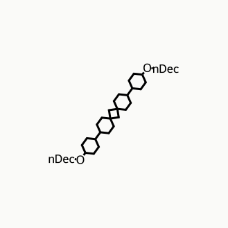 CCCCCCCCCCOC1CCC(C2CCC3(CC2)CC2(CCC(C4CCC(OCCCCCCCCCC)CC4)CC2)C3)CC1